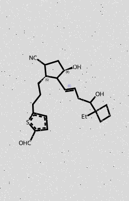 CCC1(C(O)C/C=C/C2[C@@H](CCCc3ccc(C=O)s3)C(C#N)C[C@H]2O)CCC1